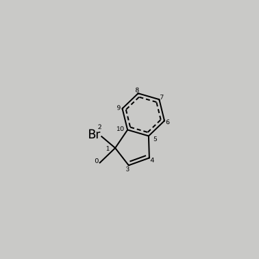 CC1(Br)C=Cc2ccccc21